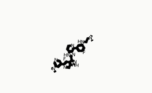 CN(C)CCNc1cc(F)cc(-c2nccc3[nH]c(-c4n[nH]c5cnc(-c6cncc(N(C)C)c6)c(F)c45)nc23)c1